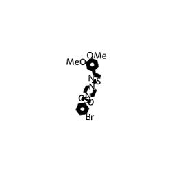 COc1ccc(-c2csc(N3CCN(S(=O)(=O)c4cccc(Br)c4)CC3)n2)cc1OC